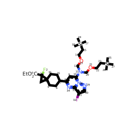 CCOC(=O)C1(F)CC12CCC(c1cc(N(COCC[Si](C)(C)C)COCC[Si](C)(C)C)n3ncc(I)c3n1)CC2